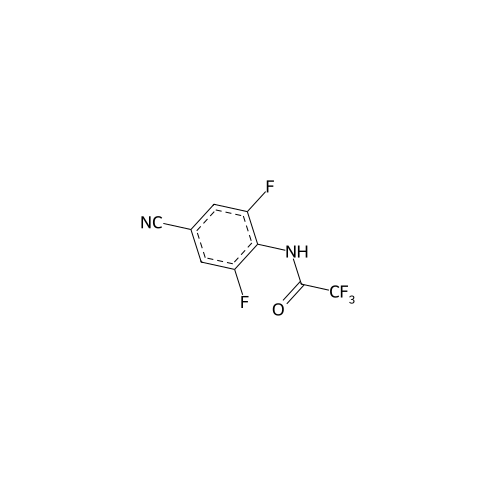 N#Cc1cc(F)c(NC(=O)C(F)(F)F)c(F)c1